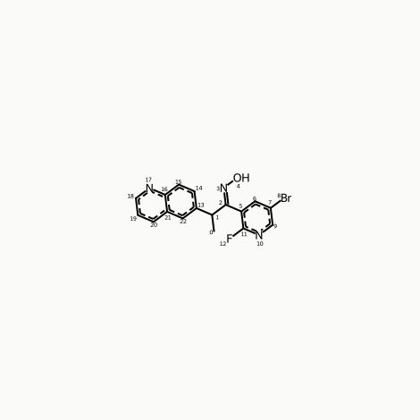 CC(/C(=N/O)c1cc(Br)cnc1F)c1ccc2ncccc2c1